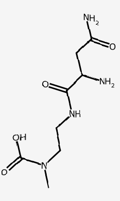 CN(CCNC(=O)C(N)CC(N)=O)C(=O)O